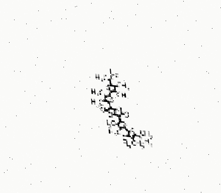 Cc1c(C2=C3OC(=O)C(c4sc(-c5sc(C(C)C)c(C)c5C)c(C)c4C)=C3OC2=O)sc(-c2sc(C(C)C)c(C)c2C)c1C